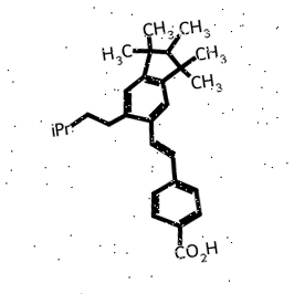 CC(C)CCc1cc2c(cc1C=Cc1ccc(C(=O)O)cc1)C(C)(C)C(C)C2(C)C